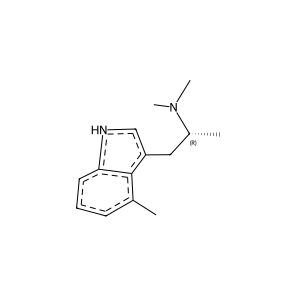 Cc1cccc2[nH]cc(C[C@@H](C)N(C)C)c12